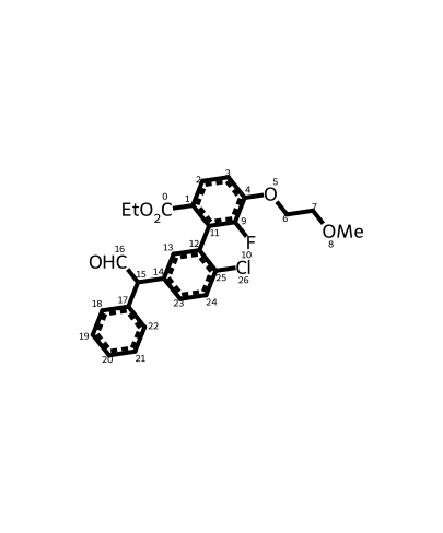 CCOC(=O)c1ccc(OCCOC)c(F)c1-c1cc(C(C=O)c2ccccc2)ccc1Cl